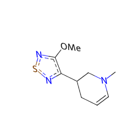 COc1nsnc1C1CC=CN(C)C1